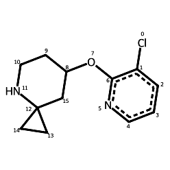 Clc1cccnc1OC1CCNC2(CC2)C1